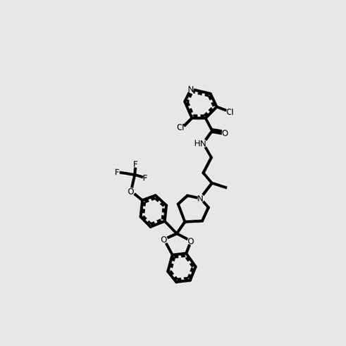 CC(CCNC(=O)c1c(Cl)cncc1Cl)N1CCC(C2(c3ccc(OC(F)(F)F)cc3)Oc3ccccc3O2)CC1